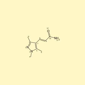 Cc1nn(C)c(C)c1C=CC(N)=O